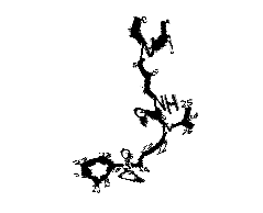 CCN(CC)CCCNC(=O)N(CCCS(=O)(=O)c1ccccc1)C(C)C